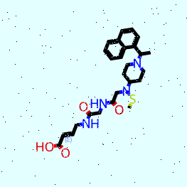 CSN(CC(=O)NCC(=O)NC/C=C/C(=O)O)C1CCN(C(C)c2cccc3ccccc23)CC1